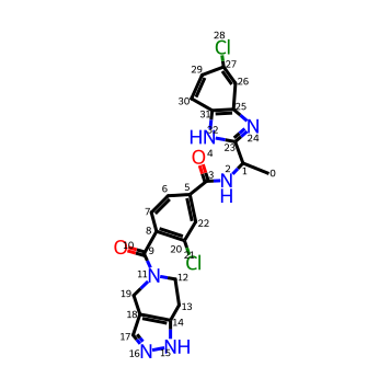 CC(NC(=O)c1ccc(C(=O)N2CCc3[nH]ncc3C2)c(Cl)c1)c1nc2cc(Cl)ccc2[nH]1